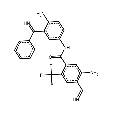 N=Cc1cc(C(F)(F)F)c(C(=O)Nc2ccc(N)c(C(=N)c3ccccc3)c2)cc1N